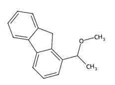 COC(C)c1cccc2c1Cc1ccccc1-2